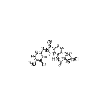 C=C(Nc1cccc2c1CN(Cc1ccc(OC)c(I)c1)C2=O)c1ccc(Cl)s1